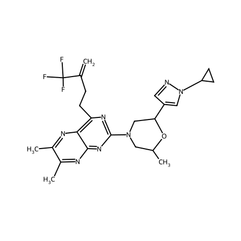 C=C(CCc1nc(N2CC(C)OC(c3cnn(C4CC4)c3)C2)nc2nc(C)c(C)nc12)C(F)(F)F